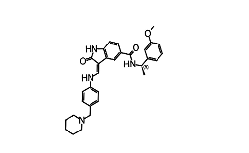 COc1cccc([C@@H](C)NC(=O)c2ccc3c(c2)C(=CNc2ccc(CN4CCCCC4)cc2)C(=O)N3)c1